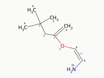 C=C(CC(C)(C)C)O/C=C\N